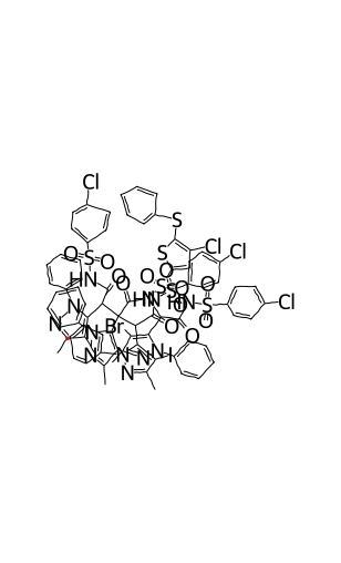 Cc1cc(C(C(=O)N(C(C(=O)NS(=O)(=O)c2ccc(Cl)cc2)c2c(Br)c(C)nn2-c2ccccc2)S(=O)(=O)c2cc(Cl)c(Sc3ccccc3)s2)(C(C(=O)NS(=O)(=O)c2ccc(Cl)cc2)c2c(C)c(C)nn2-c2ccccc2)C(C(=O)NS(=O)(=O)c2ccc(Cl)cc2)c2c(I)c(C)nn2-c2ccccc2)n(-c2ccccc2)n1